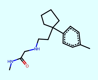 CNC(=O)CNCCC1(c2ccc(C)cc2)CCCC1